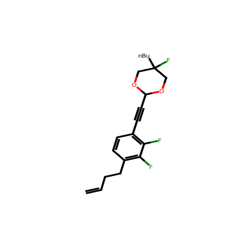 C=CCCc1ccc(C#CC2OCC(F)(CCCC)CO2)c(F)c1F